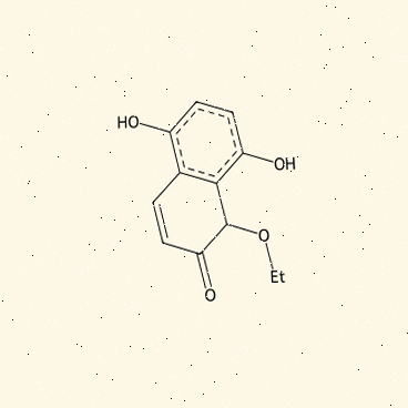 CCOC1C(=O)C=Cc2c(O)ccc(O)c21